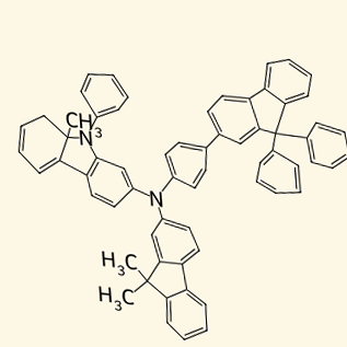 CC1(C)c2ccccc2-c2ccc(N(c3ccc(-c4ccc5c(c4)C(c4ccccc4)(c4ccccc4)c4ccccc4-5)cc3)c3ccc4c(c3)N(c3ccccc3)C3(C)CC=CC=C43)cc21